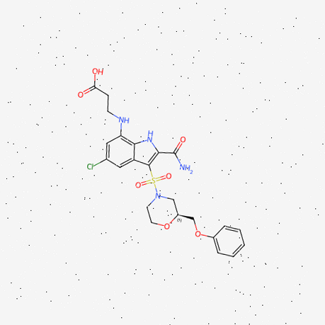 NC(=O)c1[nH]c2c(NCCC(=O)O)cc(Cl)cc2c1S(=O)(=O)N1CCO[C@H](COc2ccccc2)C1